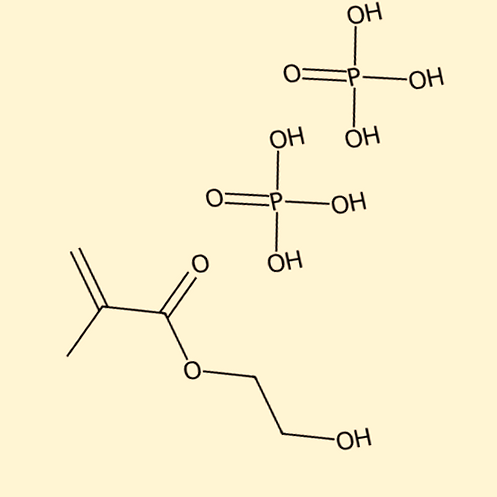 C=C(C)C(=O)OCCO.O=P(O)(O)O.O=P(O)(O)O